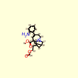 COC(=O)C12C=C(c3ccccc3N)CCN3CC(CC(CCOC=O)C31)C2